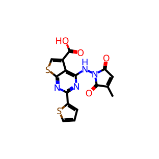 CC1=CC(=O)N(Nc2nc(-c3cccs3)nc3scc(C(=O)O)c23)C1=O